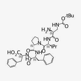 CC(C)[C@H](NC(=O)[C@@H](N)CNC(=O)OC(C)(C)C)C(=O)N1CCC[C@H]1C(=O)N[C@@H](Cc1ccccc1)C(=O)N[C@@H](Cc1ccccc1)C(=O)O